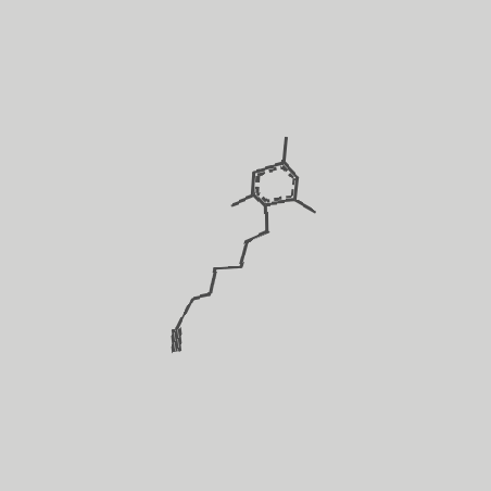 [C]#CCCCCCCc1c(C)cc(C)cc1C